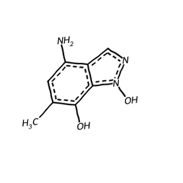 Cc1cc(N)c2cnn(O)c2c1O